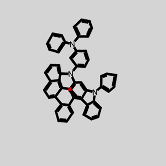 c1ccc(N(c2ccccc2)c2cccc(N(c3ccc4c5ccccc5n(-c5ccccc5)c4c3)c3cccc4ccc5c6ccccc6ccc5c34)c2)cc1